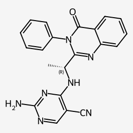 C[C@@H](Nc1nc(N)ncc1C#N)c1nc2ccccc2c(=O)n1-c1ccccc1